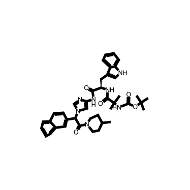 CC1CCN(C(=O)C(c2ccc3ccccc3c2)n2cnc(NC(=O)[C@@H](Cc3c[nH]c4ccccc34)NC(=O)C(C)(C)NC(=O)OC(C)(C)C)c2)CC1